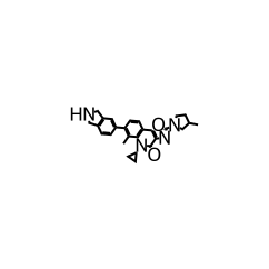 Cc1c(-c2ccc3c(c2)CNC3)ccc2c3oc(N4CCC(C)C4)nc3c(=O)n(C3CC3)c12